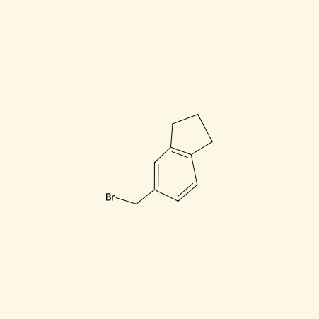 BrCc1ccc2c(c1)CCC2